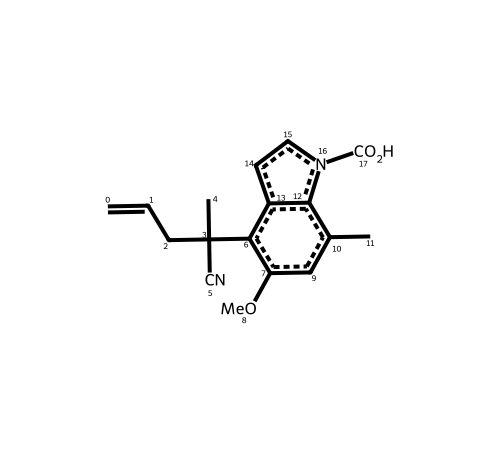 C=CCC(C)(C#N)c1c(OC)cc(C)c2c1ccn2C(=O)O